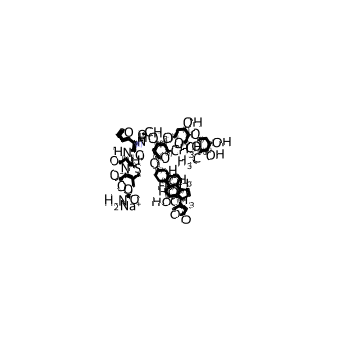 CO/N=C(/C(=O)N[C@@H]1C(=O)N2C(C(=O)[O-])=C(COC(N)=O)CS[C@H]12)c1ccco1.C[C@H]1O[C@@H](O[C@H]2[C@@H](O)C[C@H](O[C@H]3[C@@H](O)C[C@H](O[C@H]4CC[C@@]5(C)[C@H](CC[C@@H]6[C@@H]5C[C@@H](O)[C@]5(C)[C@@H](C7=CC(=O)OC7)CC[C@]65O)C4)O[C@@H]3C)O[C@@H]2C)C[C@H](O)[C@@H]1O.[Na+]